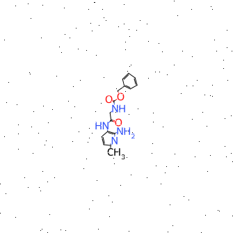 Cc1ccc(NC(=O)CNC(=O)OCc2ccccc2)c(N)n1